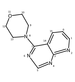 c1cnc2ncnc(N3CCOCC3)c2c1